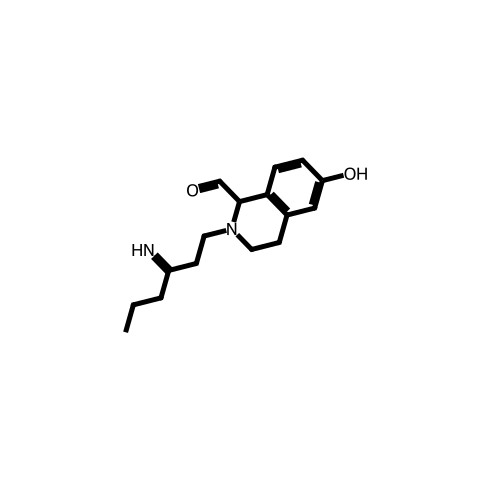 CCCC(=N)CCN1CCc2cc(O)ccc2C1C=O